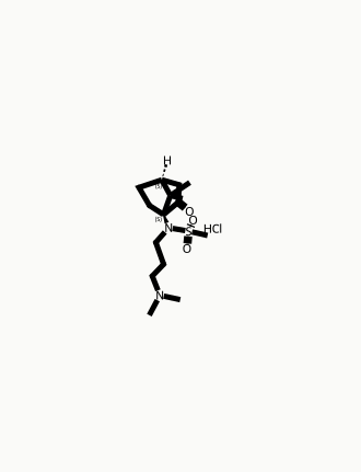 CN(C)CCCN([C@]12CC[C@@H](CC1=O)C2(C)C)S(C)(=O)=O.Cl